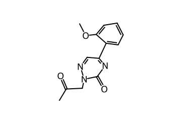 COc1ccccc1-c1cnn(CC(C)=O)c(=O)n1